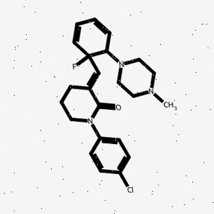 CN1CCN(C2C=CC=CC2(F)C=C2CCCN(c3ccc(Cl)cc3)C2=O)CC1